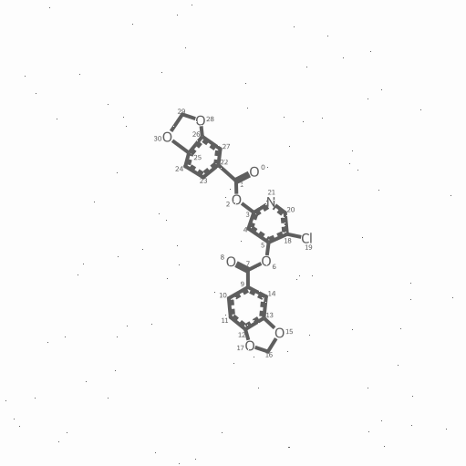 O=C(Oc1cc(OC(=O)c2ccc3c(c2)OCO3)c(Cl)cn1)c1ccc2c(c1)OCO2